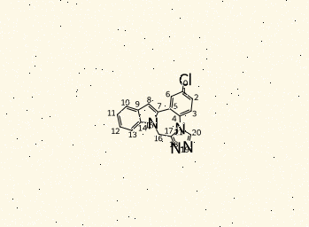 Clc1ccc2c(c1)-c1cc3ccccc3n1Cc1nncn1-2